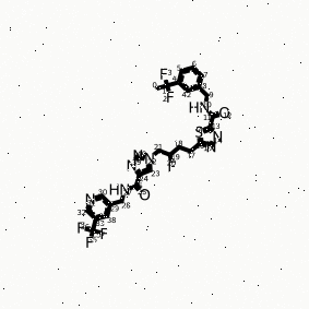 CC(F)(F)c1cccc(CNC(=O)c2nnc(CCC(F)Cn3cc(C(=O)NCc4cncc(C(F)(F)F)c4)nn3)s2)c1